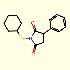 O=C1CC(c2ccccc2)C(=O)N1SC1CCCCC1